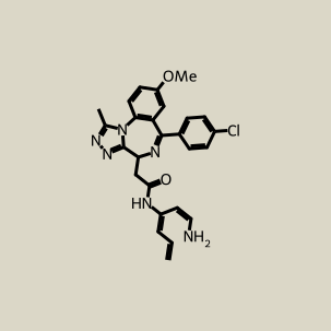 C=C/C=C(\C=C/N)NC(=O)CC1N=C(c2ccc(Cl)cc2)c2cc(OC)ccc2-n2c(C)nnc21